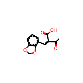 CC(=O)C(=Cc1cccc2c1OCO2)C(=O)O